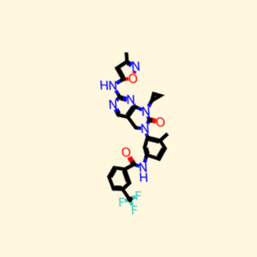 Cc1cc(Nc2ncc3c(n2)N(C2CC2)C(=O)N(c2cc(NC(=O)c4cccc(C(F)(F)F)c4)ccc2C)C3)on1